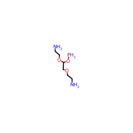 NCCOCC(OP)OCCN